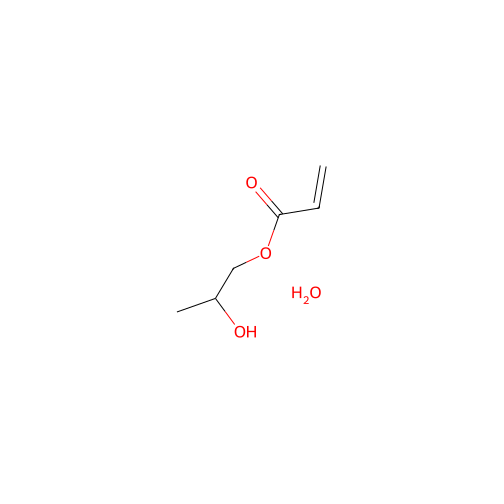 C=CC(=O)OCC(C)O.O